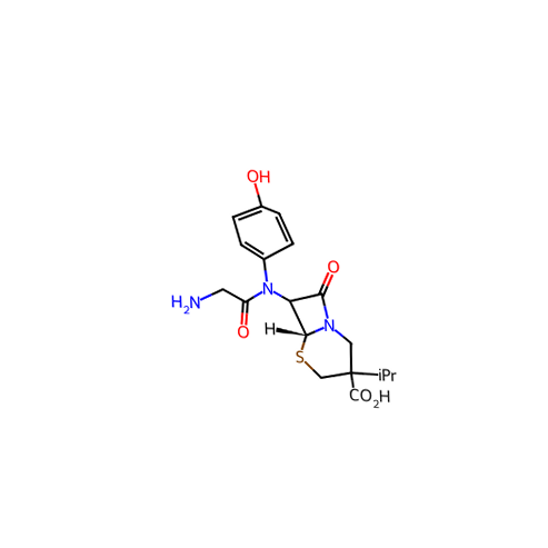 CC(C)C1(C(=O)O)CS[C@@H]2C(N(C(=O)CN)c3ccc(O)cc3)C(=O)N2C1